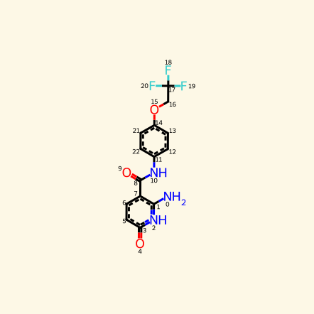 Nc1[nH]c(=O)ccc1C(=O)Nc1ccc(OCC(F)(F)F)cc1